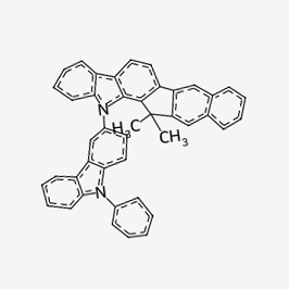 CC1(C)c2cc3ccccc3cc2-c2ccc3c4ccccc4n(-c4ccc5c(c4)c4ccccc4n5-c4ccccc4)c3c21